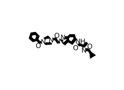 O=C(Nc1ccc2nn(CC(=O)N3CCN(C(=O)c4ccccc4)CC3)cc2c1)c1coc(C2CC2)n1